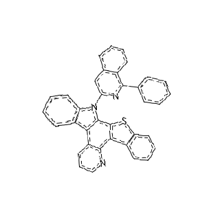 c1ccc(-c2nc(-n3c4ccccc4c4c5cccnc5c5c6ccccc6sc5c43)cc3ccccc23)cc1